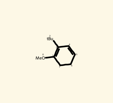 COC1=C(C(C)(C)C)C=CCC1